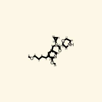 COCCCCc1cc(CN(C(=O)[C@H]2CNCCO2)C2CC2)cnc1OC